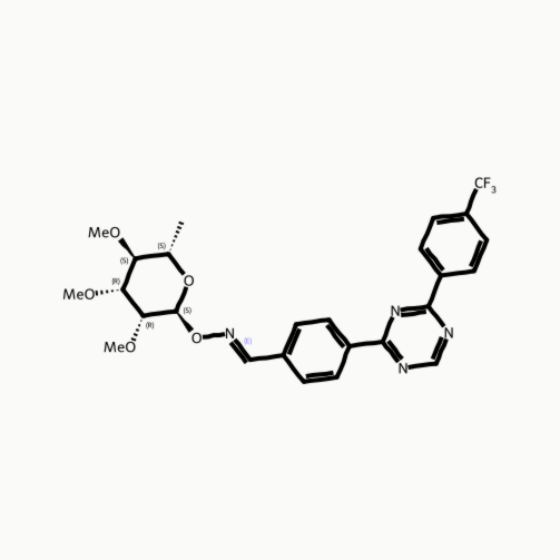 CO[C@@H]1[C@@H](OC)[C@H](C)O[C@@H](O/N=C/c2ccc(-c3ncnc(-c4ccc(C(F)(F)F)cc4)n3)cc2)[C@@H]1OC